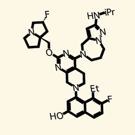 CCc1c(F)ccc2cc(O)cc(N3CCc4c(nc(OC[C@@]56CCCN5C[C@H](F)C6)nc4N4CCCn5nc(NC(C)C)cc5C4)C3)c12